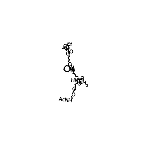 CCC1CN(C(=O)OCCCCOC2CCCCCc3c2nnn3CCCC[C@H](NC(=O)CCOCCOCCNC(C)=O)C(N)=O)CC(C)O1